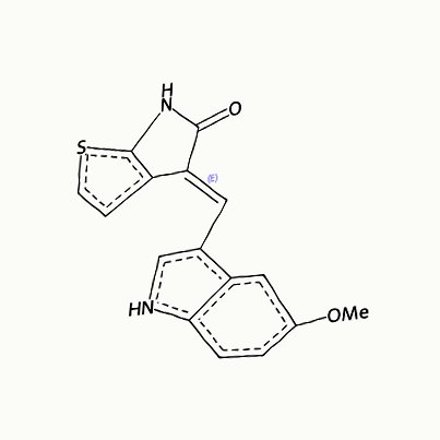 COc1ccc2[nH]cc(/C=C3/C(=O)Nc4sccc43)c2c1